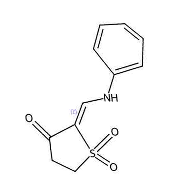 O=C1CCS(=O)(=O)/C1=C\Nc1ccccc1